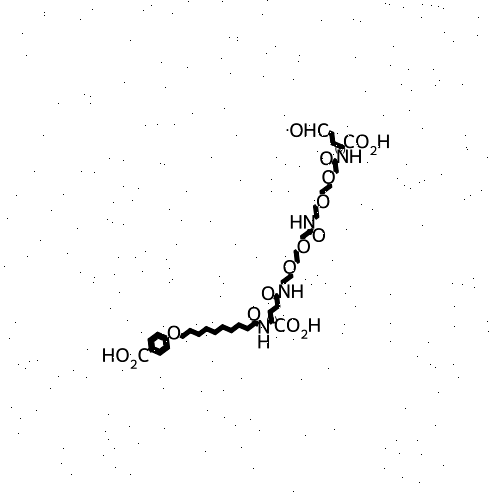 O=[C]CC[C@H](NC(=O)COCCOCCNC(=O)COCCOCCNC(=O)CC[C@@H](NC(=O)CCCCCCCCCOc1ccc(C(=O)O)cc1)C(=O)O)C(=O)O